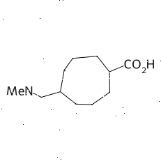 CNCC1CCCC(C(=O)O)CCC1